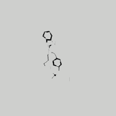 CC(C)CCCN(Cc1ccc(OC(C)(C)C(=O)O)cc1)c1nc2ccccc2o1